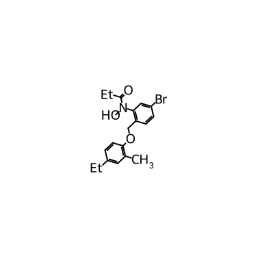 CCC(=O)N(O)c1cc(Br)ccc1COc1ccc(CC)cc1C